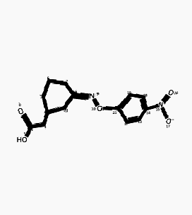 O=C(O)CC1CCCC(=NOc2ccc([N+](=O)[O-])cc2)C1